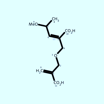 C=C(COC/C(=C/C(C)OC)C(=O)O)C(=O)O